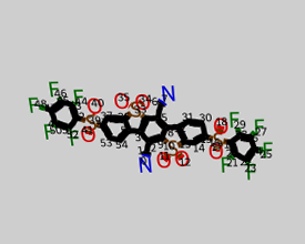 N#Cc1c2c(c(C#N)c3c1S(=O)(=O)c1cc(S(=O)(=O)c4c(F)c(F)c(F)c(F)c4F)ccc1-3)S(=O)(=O)c1cc(S(=O)(=O)c3c(F)c(F)c(F)c(F)c3F)ccc1-2